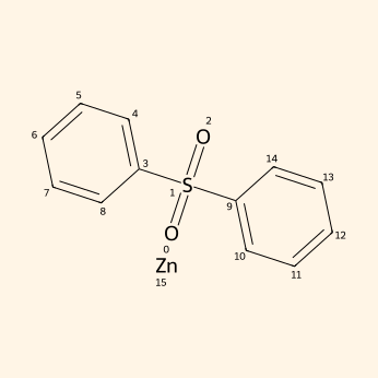 O=S(=O)(c1ccccc1)c1ccccc1.[Zn]